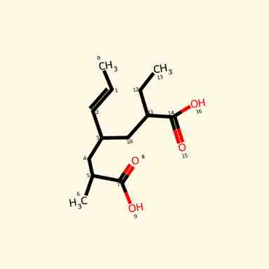 CC=CC(CC(C)C(=O)O)CC(CC)C(=O)O